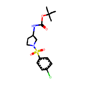 CC(C)(C)OC(=O)NC1CCN(S(=O)(=O)c2ccc(Cl)cc2)C1